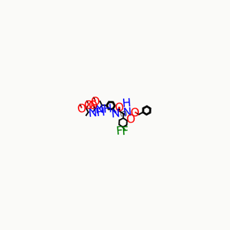 COCC(NC(=O)NC(C)C(OC)OC)c1ccc2oc([C@@H](NC(=O)OCc3ccccc3)C3CCC(F)(F)CC3)nc2c1